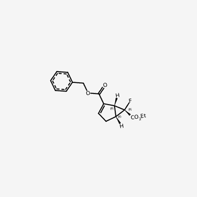 CCOC(=O)[C@@]1(F)[C@@H]2CC=C(C(=O)OCc3ccccc3)[C@@H]21